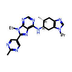 CCn1c(-c2cnc(C)nc2)nc2c(N[C@@H]3Cc4c(ncn4C(C)C)C[C@H]3C)ncnc21